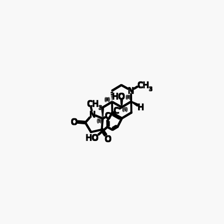 CN1CC[C@]23C[C@@]4(CC[C@@]2(O)[C@H]1Cc1ccc(O)cc13)C(=O)CC(=O)N4C